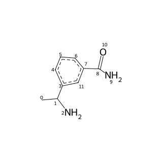 CC(N)c1cccc(C(N)=O)c1